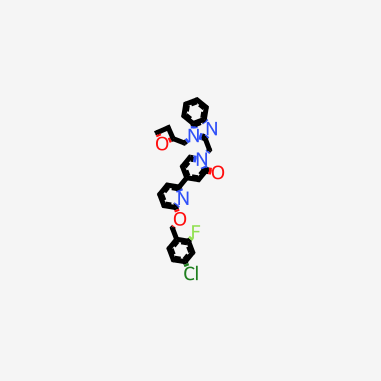 O=c1cc(-c2cccc(OCc3ccc(Cl)cc3F)n2)ccn1Cc1nc2ccccc2n1CC1CCO1